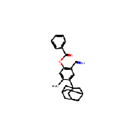 COc1cc(OC(=O)c2ccccc2)c(C=N)cc1C12CC3CC(CC(C3)C1)C2